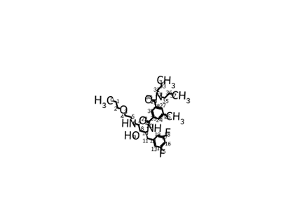 CCCOCCNC[C@@H](O)[C@H](Cc1cc(F)cc(F)c1)NC(=O)c1cc(C)cc(C(=O)N(CCC)CCC)c1